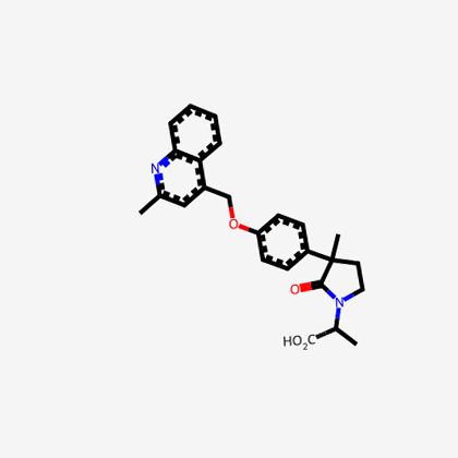 Cc1cc(COc2ccc(C3(C)CCN(C(C)C(=O)O)C3=O)cc2)c2ccccc2n1